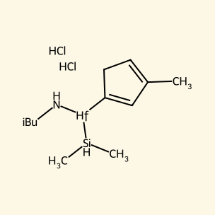 CCC(C)[NH][Hf]([C]1=CC(C)=CC1)[SiH](C)C.Cl.Cl